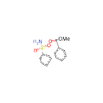 COC(=O)c1ccccc1.NS(=O)(=O)c1ccccc1